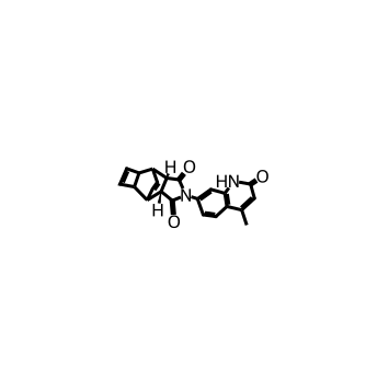 Cc1cc(=O)[nH]c2cc(N3C(=O)[C@@H]4C5C=CC(C6C=CC65)[C@@H]4C3=O)ccc12